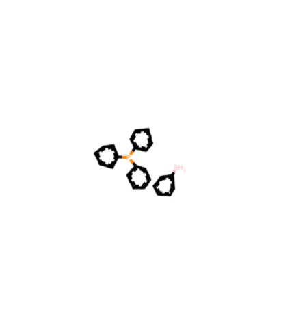 Bc1ccccc1.c1ccc(P(c2ccccc2)c2ccccc2)cc1